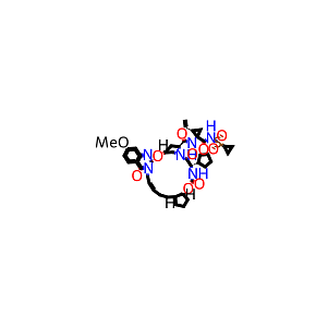 C=C[C@@H]1C[C@]1(NC(=O)[C@@H]1C[C@@H]2CN1C(=O)[C@H](C1CCCC1)NC(=O)O[C@@H]1CCC[C@H]1CCC=CCn1c(nc3cc(OC)ccc3c1=O)O2)C(=O)NS(=O)(=O)C1CC1